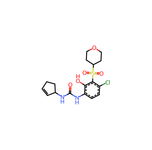 O=C(Nc1ccc(Cl)c(S(=O)(=O)C2CCOCC2)c1O)NC1C=CCC1